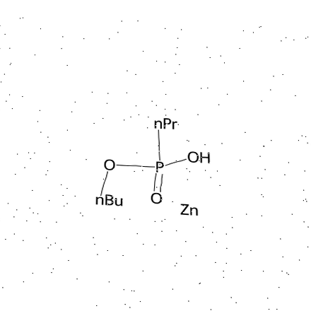 CCCCOP(=O)(O)CCC.[Zn]